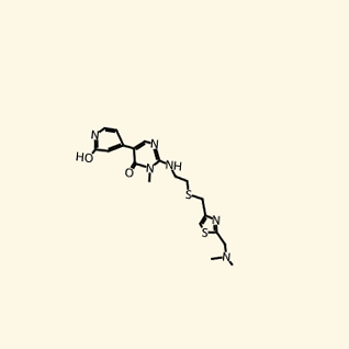 CN(C)Cc1nc(CSCCNc2ncc(-c3ccnc(O)c3)c(=O)n2C)cs1